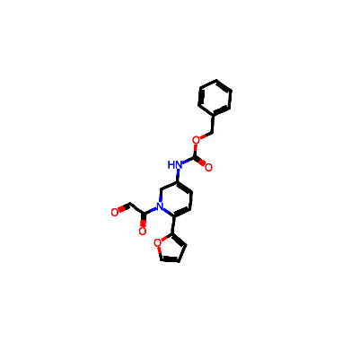 O=CC(=O)N1CC(NC(=O)OCc2ccccc2)=CC=C1c1ccco1